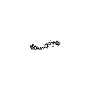 O=C(COc1ccc(CC=NOCc2ccc(C(F)(F)F)cc2)cc1)NCC1C=COCC1